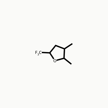 CC1CC(C(F)(F)F)OC1C